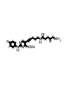 CNc1nc(Nc2ccc(F)cc2)ncc1C#CCCCNC(=O)CC[C@H](F)CN